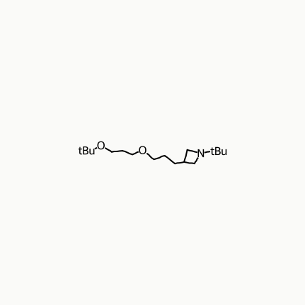 CC(C)(C)OCCCOCCCC1CN(C(C)(C)C)C1